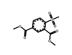 COC(=O)c1ccc(S(C)(=O)=O)c(C(=O)OC)c1